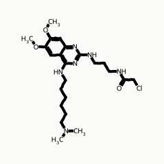 COc1cc2nc(NCCCNC(=O)CCl)nc(NCCCCCCN(C)C)c2cc1OC